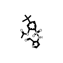 CC(=O)Oc1cc(C(C)(C)C)ccc1S(=O)(=O)Nc1ccsc1C=O